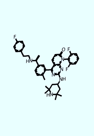 C=C(NCCc1ccc(F)cc1)c1ccc(C)c(-c2nc(NC3CC(C)(C)NC(C)(C)C3)nc3c2ccc(=O)n3-c2c(F)cccc2F)c1